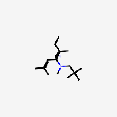 CC/C(C)=C(\C=C(C)C)N(C)CC(C)(C)C